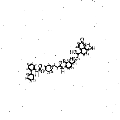 O=C(CCN1CCC(OC(=O)Nc2ccccc2-c2ccccc2)CC1)Nc1ccc(CNC[C@@H](O)c2ccc(O)c3[nH]c(=O)ccc23)cc1I